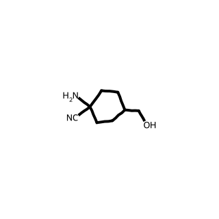 N#CC1(N)CCC(CO)CC1